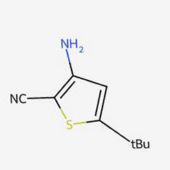 CC(C)(C)c1cc(N)c(C#N)s1